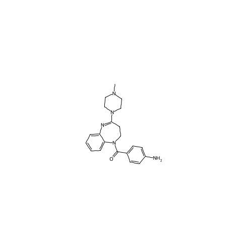 CN1CCN(C2=Nc3ccccc3N(C(=O)c3ccc(N)cc3)CC2)CC1